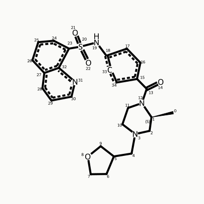 C[C@H]1CN(CC2CCOC2)CCN1C(=O)c1ccc(NS(=O)(=O)c2cccc3cccnc23)cc1